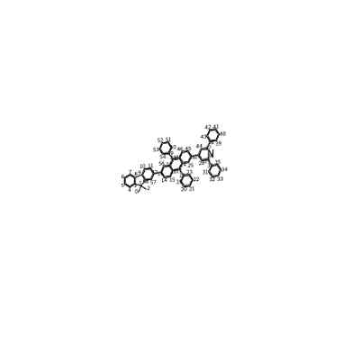 CC1(C)c2ccccc2-c2ccc(-c3ccc4c(-c5ccccc5)c5cc(-c6cc(-c7ccccc7)nc(-c7ccccc7)c6)ccc5c(-c5ccccc5)c4c3)cc21